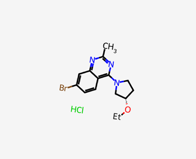 CCO[C@H]1CCN(c2nc(C)nc3cc(Br)ccc23)C1.Cl